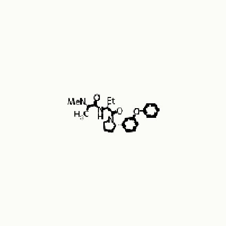 CC[C@H](NC(=O)[C@H](C)NC)C(=O)N1CCC[C@H]1c1cccc(Oc2ccccc2)c1